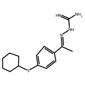 CC(=NNC(=N)N)c1ccc(SC2CCCCC2)cc1